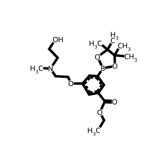 CCOC(=O)c1cc(OCCN(C)CCO)cc(B2OC(C)(C)C(C)(C)O2)c1